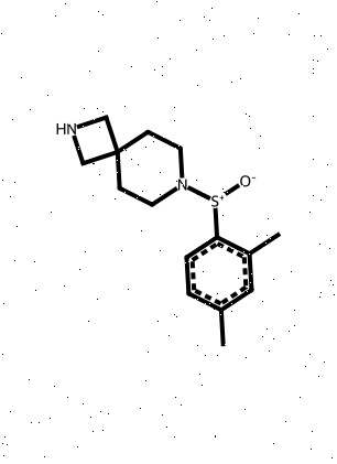 Cc1ccc([S+]([O-])N2CCC3(CC2)CNC3)c(C)c1